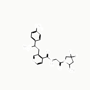 CC(Cc1cnccc1C(=O)NCC(=O)N1CC(F)(F)CC1C#N)c1ccc(C(F)(F)F)cc1